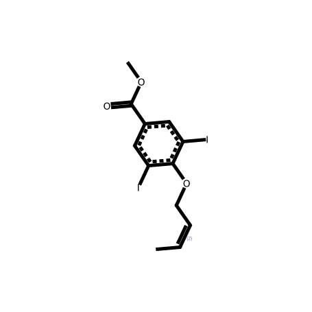 C/C=C\COc1c(I)cc(C(=O)OC)cc1I